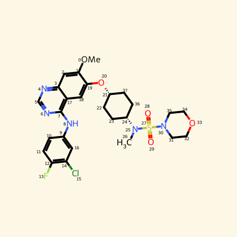 COc1cc2ncnc(Nc3ccc(F)c(Cl)c3)c2cc1O[C@H]1CC[C@@H](N(C)S(=O)(=O)N2CCOCC2)CC1